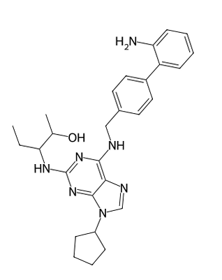 CCC(Nc1nc(NCc2ccc(-c3ccccc3N)cc2)c2ncn(C3CCCC3)c2n1)C(C)O